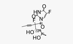 CC#CC1(F)[C@@H](O)[C@@H]([C@@H](C)O)O[C@H]1n1cc(F)c(=O)[nH]c1=O